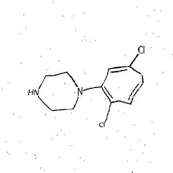 Clc1ccc(Cl)c(N2CCNCC2)c1